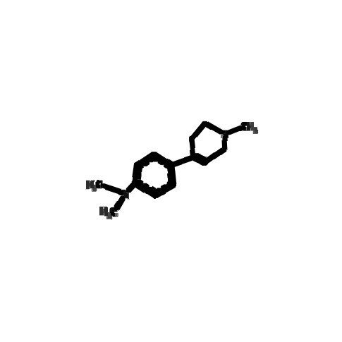 CN1CC=C(c2ccc(N(C)C)cc2)CC1